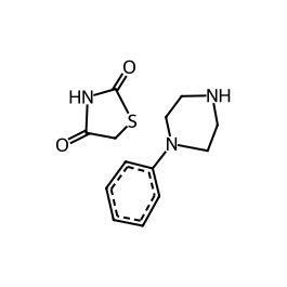 O=C1CSC(=O)N1.c1ccc(N2CCNCC2)cc1